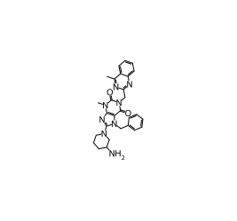 Cc1nc(Cn2c(=O)c3c(nc(N4CCCC(N)C4)n3Cc3ccccc3)n(C)c2=O)nc2ccccc12